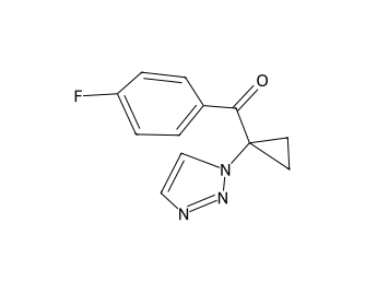 O=C(c1ccc(F)cc1)C1(n2ccnn2)CC1